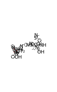 Cc1ncsc1-c1ccc([C@H](C)NC(=O)[C@@H]2C[C@@H](O)CN2C(=O)[C@@H](c2cc(N3CCC(CN4CC[C@@H](Oc5cc(N6C7CCC6CN(c6cc(-c8ccccc8O)nnc6N)C7)ccn5)[C@H](F)C4)CC3)no2)C(C)C)cc1